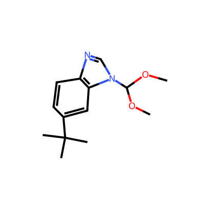 COC(OC)n1cnc2ccc(C(C)(C)C)cc21